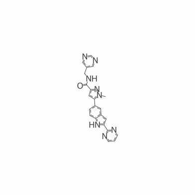 Cn1nc(C(=O)NCc2cncnc2)cc1-c1ccc2[nH]c(-c3ncccn3)cc2c1